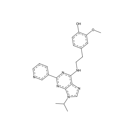 COc1cc(CCNc2nc(-c3cccnc3)nc3c2ncn3C(C)C)ccc1O